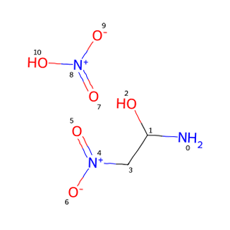 NC(O)C[N+](=O)[O-].O=[N+]([O-])O